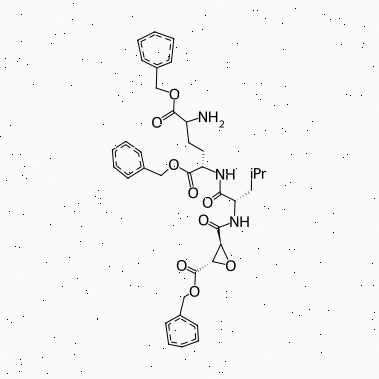 CC(C)C[C@H](NC(=O)[C@H]1O[C@@H]1C(=O)OCc1ccccc1)C(=O)N[C@@H](CCC(N)C(=O)OCc1ccccc1)C(=O)OCc1ccccc1